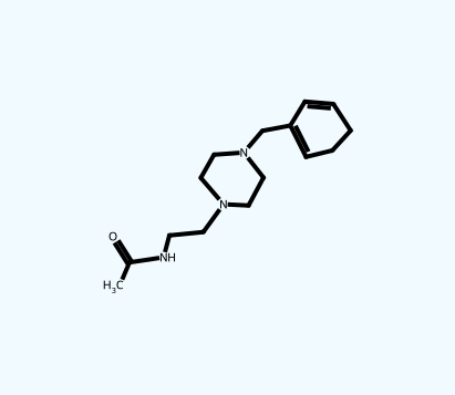 CC(=O)NCCN1CCN(CC2=CCCC=C2)CC1